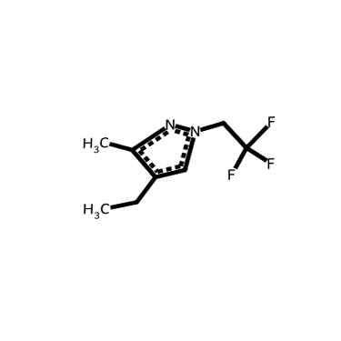 CCc1cn(CC(F)(F)F)nc1C